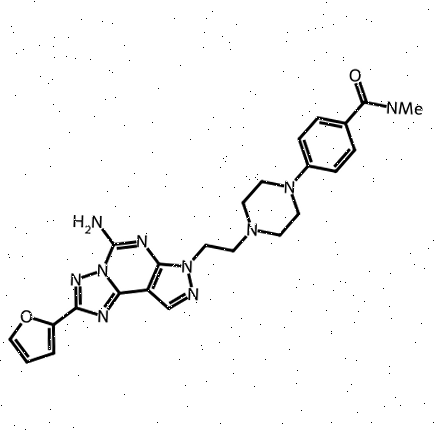 CNC(=O)c1ccc(N2CCN(CCn3ncc4c3nc(N)n3nc(-c5ccco5)nc43)CC2)cc1